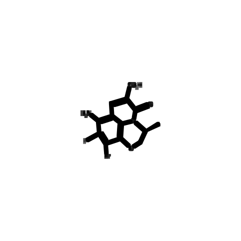 C[C@H]1COc2c(Br)c(F)c(N)c3cc(C(=O)O)c(=O)n1c23